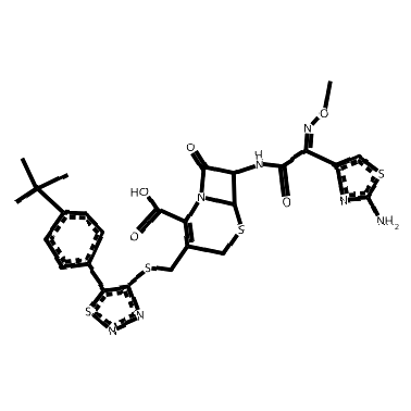 CON=C(C(=O)NC1C(=O)N2C(C(=O)O)=C(CSc3nnsc3-c3ccc(C(C)(C)C)cc3)CSC12)c1csc(N)n1